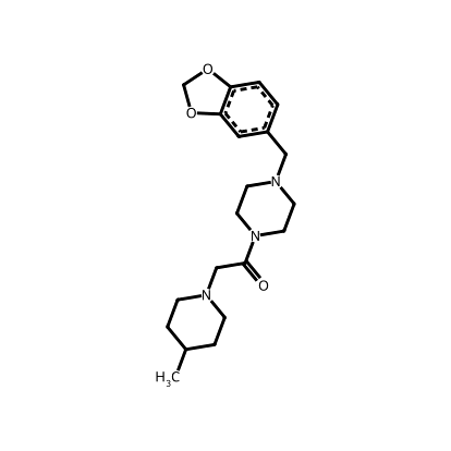 CC1CCN(CC(=O)N2CCN(Cc3ccc4c(c3)OCO4)CC2)CC1